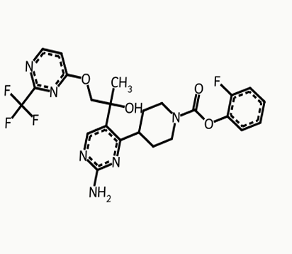 CC(O)(COc1ccnc(C(F)(F)F)n1)c1cnc(N)nc1C1CCN(C(=O)Oc2ccccc2F)CC1